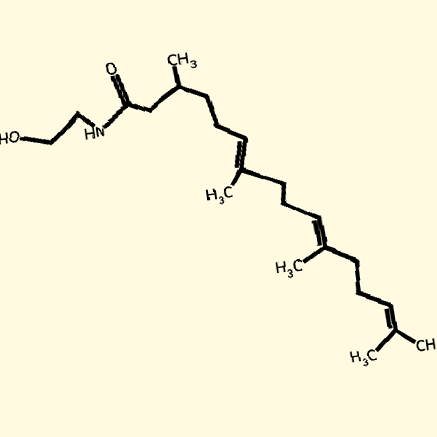 CC(C)=CCC/C(C)=C/CC/C(C)=C/CCC(C)CC(=O)NCCO